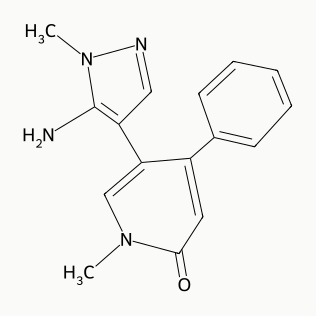 Cn1ncc(-c2cn(C)c(=O)cc2-c2ccccc2)c1N